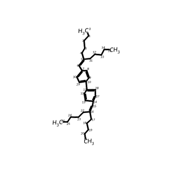 CCCCCC(=Cc1ccc(-c2ccc(C=C(CCCCC)CCCCC)cc2)cc1)CCCCC